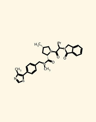 Cc1ncsc1-c1ccc(CN(C)C(=O)[C@@H]2C[C@H](C)CN2C(=O)C(C(C)C)N2Cc3ccccc3C2=O)cc1